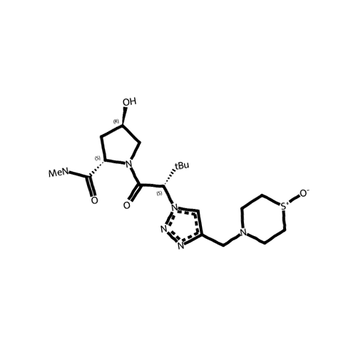 CNC(=O)[C@@H]1C[C@@H](O)CN1C(=O)[C@@H](n1cc(CN2CC[S+]([O-])CC2)nn1)C(C)(C)C